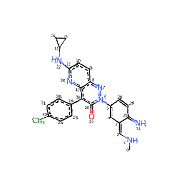 CN/C=C1/C=C(n2nc3ccc(NC4CC4)nc3c(-c3ccc(Cl)cc3)c2=O)C=CC1=N